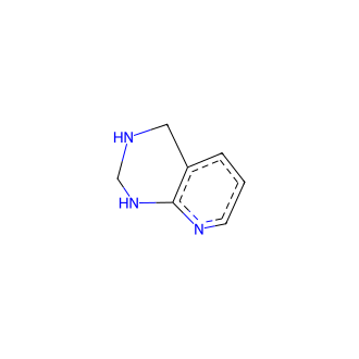 c1cnc2c(c1)CNCN2